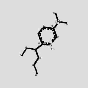 CCCC(CC)c1ccc(N(C)C)cn1